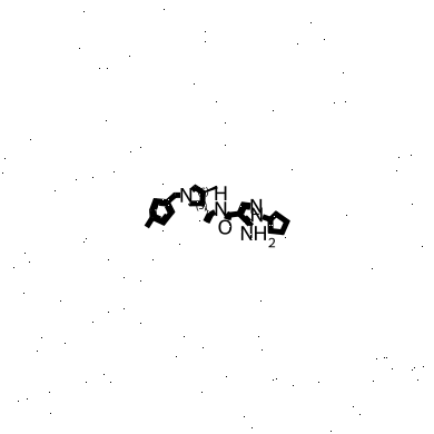 C=C(NC(=O)c1cnn(C2CCCC2)c1N)[C@@H]1CN(Cc2ccc(C)cc2)C[C@H]1C